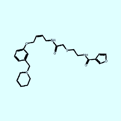 O=C(CSCCNC(=O)c1ccoc1)NC/C=C\COc1cccc(CN2CCCCC2)c1